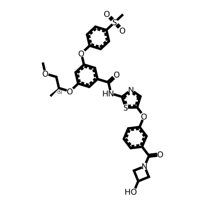 COC[C@H](C)Oc1cc(Oc2ccc(S(C)(=O)=O)cc2)cc(C(=O)Nc2ncc(Oc3cccc(C(=O)N4CC(O)C4)c3)s2)c1